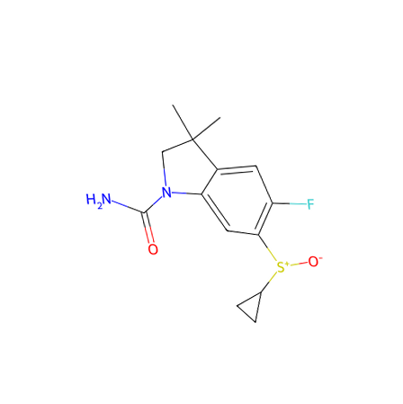 CC1(C)CN(C(N)=O)c2cc([S+]([O-])C3CC3)c(F)cc21